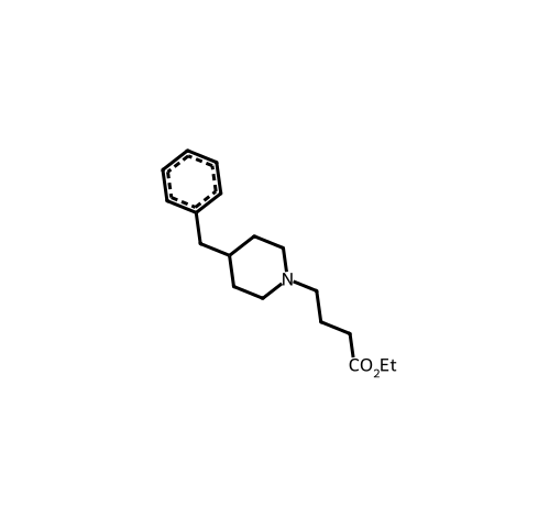 CCOC(=O)CCCN1CCC(Cc2ccccc2)CC1